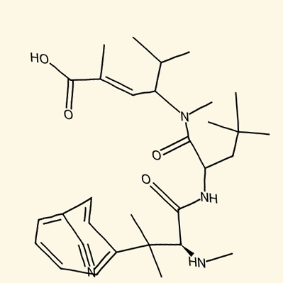 CN[C@H](C(=O)NC(CC(C)(C)C)C(=O)N(C)C(/C=C(\C)C(=O)O)C(C)C)C(C)(C)C1=C/C=C\C=C(C#N)\C=C\1